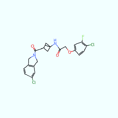 O=C(COc1ccc(Cl)c(F)c1)NC12CC(C(=O)N3Cc4ccc(Cl)cc4C3)(C1)C2